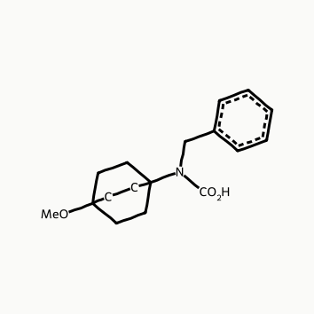 COC12CCC(N(Cc3ccccc3)C(=O)O)(CC1)CC2